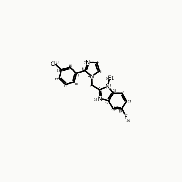 CCn1c(Cn2ccnc2-c2cccc(Cl)c2)nc2cc(F)ccc21